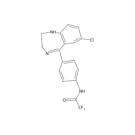 O=C(Nc1ccc(C2=NCCNc3ccc(Cl)cc32)cc1)C(F)(F)F